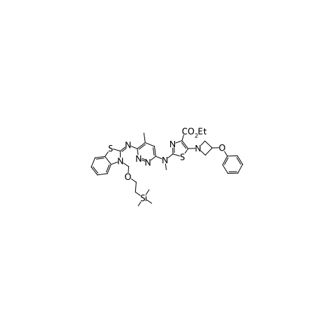 CCOC(=O)c1nc(N(C)c2cc(C)c(N=c3sc4ccccc4n3COCC[Si](C)(C)C)nn2)sc1N1CC(Oc2ccccc2)C1